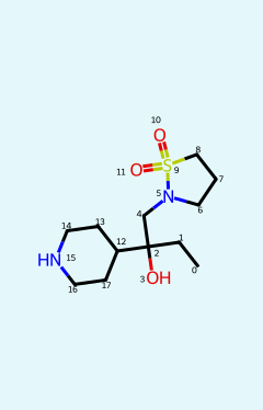 CCC(O)(CN1CCCS1(=O)=O)C1CCNCC1